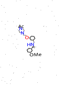 COc1cccc([C@@H](C)NCc2cccc(OCCN3CCN(C(C)=O)CC3)c2)c1